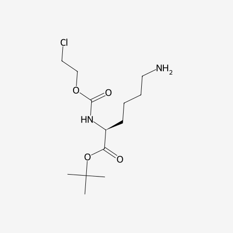 CC(C)(C)OC(=O)[C@H](CCCCN)NC(=O)OCCCl